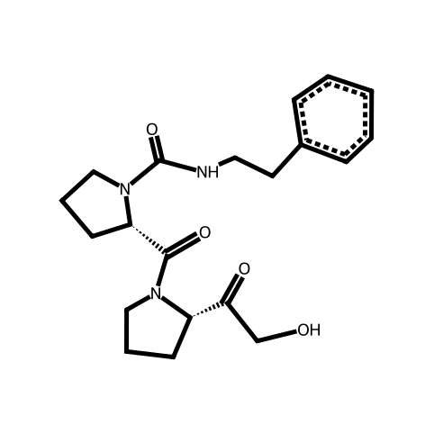 O=C(CO)[C@@H]1CCCN1C(=O)[C@@H]1CCCN1C(=O)NCCc1ccccc1